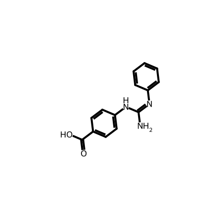 NC(=Nc1ccccc1)Nc1ccc(C(=O)O)cc1